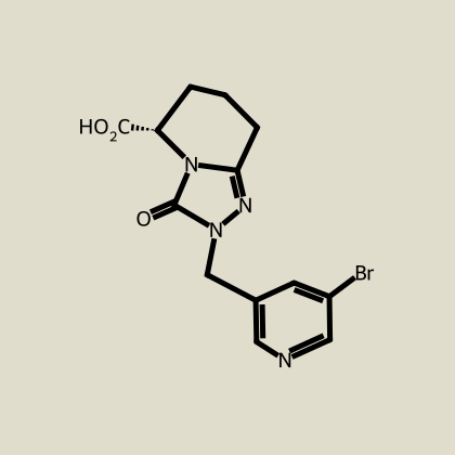 O=C(O)[C@@H]1CCCc2nn(Cc3cncc(Br)c3)c(=O)n21